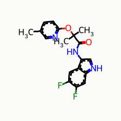 Cc1ccc(OC(C)(C)C(=O)Nc2c[nH]c3cc(F)c(F)cc23)nc1